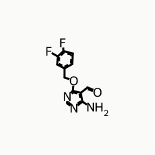 Nc1ncnc(OCc2ccc(F)c(F)c2)c1C=O